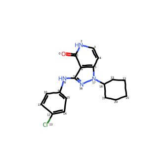 O=c1[nH]ccc2c1c(Nc1ccc(Cl)cc1)nn2C1CCCCC1